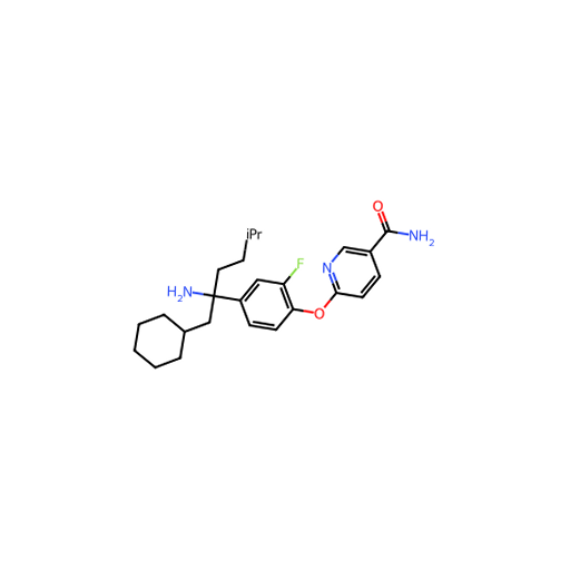 CC(C)CCC(N)(CC1CCCCC1)c1ccc(Oc2ccc(C(N)=O)cn2)c(F)c1